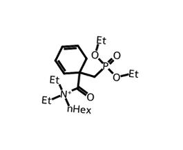 CCCCCC[N+](CC)(CC)C(=O)C1(CP(=O)(OCC)OCC)C=CC=CC1